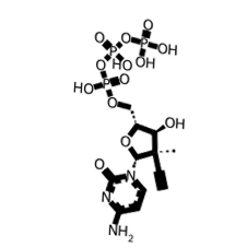 C#C[C@]1(C)[C@H](O)[C@@H](COP(=O)(O)OP(=O)(O)OP(=O)(O)O)O[C@H]1n1ccc(N)nc1=O